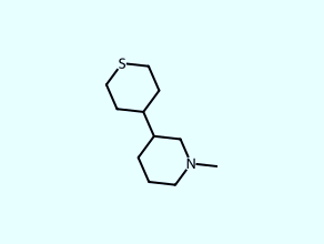 CN1CCCC(C2CCSCC2)C1